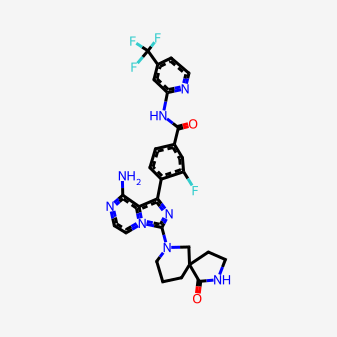 Nc1nccn2c(N3CCCC4(CCNC4=O)C3)nc(-c3ccc(C(=O)Nc4cc(C(F)(F)F)ccn4)cc3F)c12